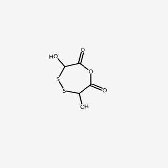 O=C1OC(=O)C(O)SSC1O